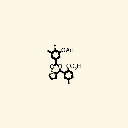 CC(=O)Oc1cc(C(=O)OC(c2cc(C)ccc2C(=O)O)C2CCCS2)cc(C)c1F